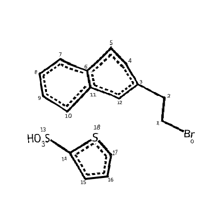 BrCCc1ccc2ccccc2c1.O=S(=O)(O)c1cccs1